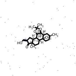 C[C@H]1CC[C@@]2(C)[C@H](C1)[C@H]1OC(C)(C)O[C@@H]1C1[C@@H]2CC[C@]2(C)C(=O)/C(=C\O)C[C@@H]12